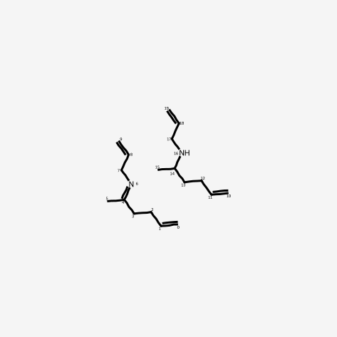 C=CCCC(C)=NCC=C.C=CCCC(C)NCC=C